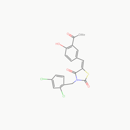 COC(=O)c1cc(C=C2SC(=O)N(Cc3ccc(Cl)cc3Cl)C2=O)ccc1O